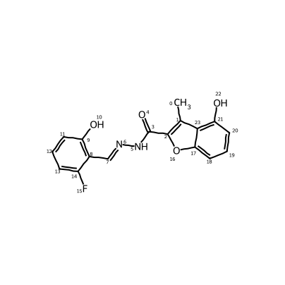 Cc1c(C(=O)NN=Cc2c(O)cccc2F)oc2cccc(O)c12